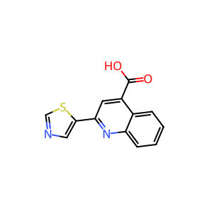 O=C(O)c1cc(-c2cncs2)nc2ccccc12